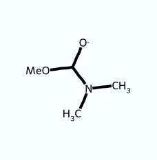 COC([O])N(C)C